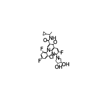 CC(NC(=O)c1cn(-c2c(F)cc(F)cc2Cl)c2nc(N3C[C@@H](O)[C@H](O)C3)c(F)cc2c1=O)C1CC1